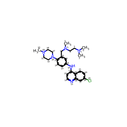 CN(C)CCN(C)Cc1cc(Nc2ccnc3cc(Cl)ccc23)ccc1N1CCN(C)CC1